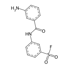 Nc1cccc(C(=O)Nc2cccc(S(=O)(=O)F)c2)c1